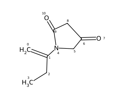 C=C(CC)N1CC(=O)CC1=O